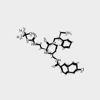 CC[C@H](CN1CC[C@@H](CNC(=O)c2ccc3cc(Cl)ccc3c2)N[C@@H](CCNC(=O)OC(C)(C)C)C1=O)c1ccccc1